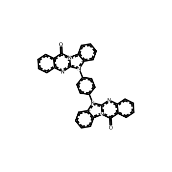 O=c1c2ccccc2nc2n(-c3ccc(-n4c5ccccc5n5c(=O)c6ccccc6nc45)cc3)c3ccccc3n12